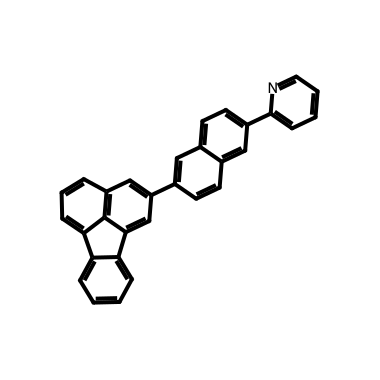 c1ccc(-c2ccc3cc(-c4cc5c6c(cccc6c4)-c4ccccc4-5)ccc3c2)nc1